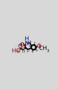 COc1ccc2c(c1)CNC(=O)[C@H](CC(=O)O)C2